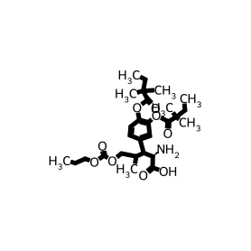 CCCOC(=O)OCC(C)C(c1ccc(OC(=O)C(C)(C)CC)c(OC(=O)C(C)(C)CC)c1)[C@H](N)C(=O)O